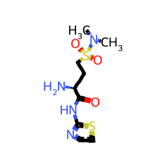 CN(C)S(=O)(=O)CC[C@H](N)C(=O)Nc1nccs1